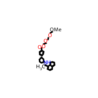 COCCOCCOCCOC(=O)c1ccc([C@H]2CCC[C@H](N[C@H](C)c3cccc4ccccc34)C2)cc1